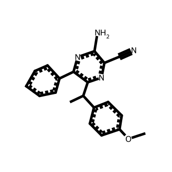 COc1ccc(C(C)c2nc(C#N)c(N)nc2-c2ccccc2)cc1